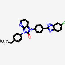 O=C(O)Cc1ccc(-n2c(=O)n(-c3ccc(-c4nc5ccc(Cl)cc5[nH]4)cc3)c3cccnc32)cc1